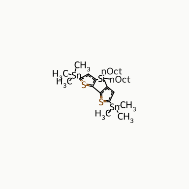 CCCCCCCC[Si]1(CCCCCCCC)c2c[c]([Sn]([CH3])([CH3])[CH3])sc2-c2s[c]([Sn]([CH3])([CH3])[CH3])cc21